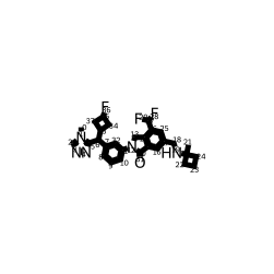 Cn1cnnc1C(c1cccc(N2Cc3c(cc(CNC4(C)CCC4)cc3C(F)F)C2=O)c1)C1CC(F)C1